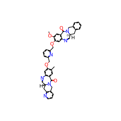 COc1cc2c(cc1OCc1cccc(COc3cc4c(cc3C)C(=O)N3Cc5cccnc5C[C@@H]3C=N4)n1)N=C[C@@H]1Cc3ccccc3CN1C2=O